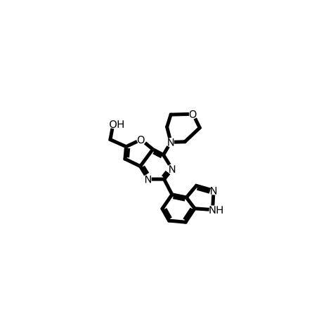 OCc1cc2nc(-c3cccc4[nH]ncc34)nc(N3CCOCC3)c2o1